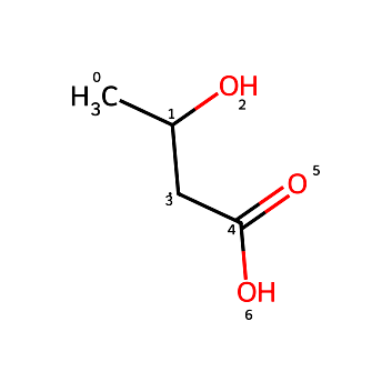 CC(O)[CH]C(=O)O